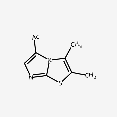 CC(=O)c1cnc2sc(C)c(C)n12